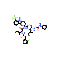 CCC(C)[C@H](NC(=O)Cc1ccccc1F)C(=O)N[C@]1(C(=O)N[C@H](C(=O)NNC(=O)Nc2ccccc2)C(C)CC)CCc2[nH]c3c(C(F)(F)F)cccc3c2C1